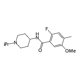 COc1cc(C(=O)NC2CCN(C(C)C)CC2)c(F)cc1C